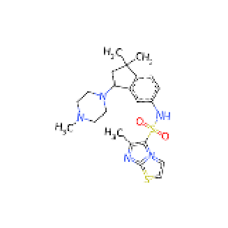 Cc1nc2sccn2c1S(=O)(=O)Nc1ccc2c(c1)C(N1CCN(C)CC1)CC2(C)C